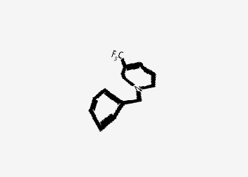 FC(F)(F)C1=CCCN(Cc2ccccc2)C1